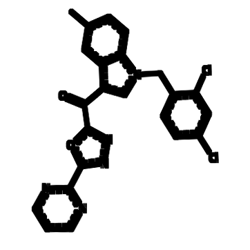 Cc1ccc2c(c1)c(C(=O)c1nnc(-c3ncccn3)o1)cn2Cc1ccc(Cl)cc1Cl